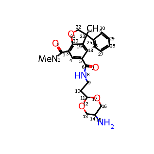 CNC(=O)c1cc(C(=O)NCCC2OCC(N)CO2)cc2c1OCC2(C)c1ccccc1